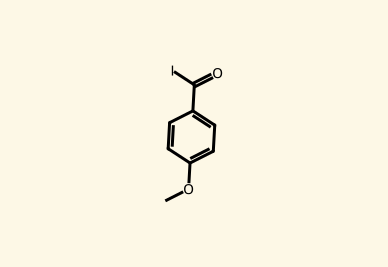 COc1ccc(C(=O)I)cc1